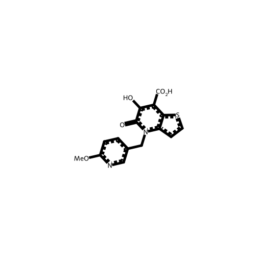 COc1ccc(Cn2c(=O)c(O)c(C(=O)O)c3sccc32)cn1